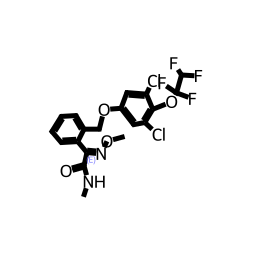 CNC(=O)/C(=N/OC)c1ccccc1COc1cc(Cl)c(OC(F)(F)C(F)F)c(Cl)c1